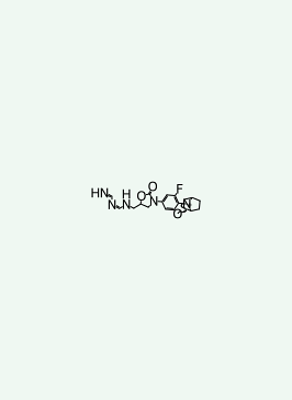 N=C/N=C\NCC1CN(c2ccc(N3C4CCC3[S+]([O-])C4)c(F)c2)C(=O)O1